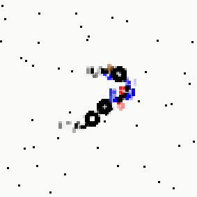 Cc1nc2cc(Nc3nnc(C(=O)Nc4ccc([C@H]5CC[C@H](CC(=O)O)CC5)cc4)o3)ccc2s1